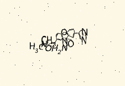 CN(C)C(=O)C=Cc1ccc2c(c1)[C@]1(COC(N)=N1)c1cc(-c3cncnc3)ccc1O2